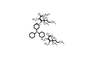 C1CCC(P(C2CCCCC2)C2CCCCC2)CC1.CCCC(C)(C)C(C)=C(C)C(=O)[O-].CCCC(C)(C)C(C)=C(C)C(=O)[O-].[Pd+2]